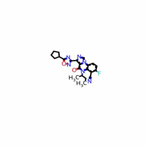 CCC(C)n1c(=O)c2c(-c3noc(C4CCCC4)n3)ncn2c2ccc(F)c(C#N)c21